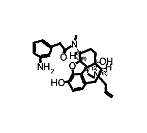 C=CCN1CC[C@]23c4c5ccc(O)c4O[C@H]2[C@H](N(C)C(=O)Cc2cccc(N)c2)CC[C@@]3(O)[C@H]1C5